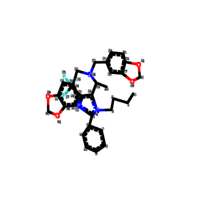 CCCCn1c(-c2ccccc2)nc(C(F)(F)F)c1C(C)N(Cc1ccc2c(c1)OCO2)Cc1ccc2c(c1)OCO2